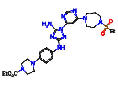 CCOC(=O)N1CCN(c2ccc(Nc3nc(N)n(-c4cc(N5CCCN(S(=O)(=O)CC)CC5)ncn4)n3)cc2)CC1